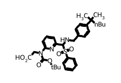 CCCCC(C)(C)c1ccc(CNC(c2cccc(N(CC(=O)O)C(=O)OC(C)(C)C)n2)S(=O)(=O)c2ccccc2)cc1